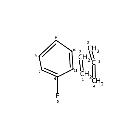 C=C.C=C=C.Fc1ccccc1